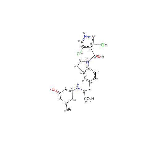 CCCC1CC(=O)C=C(NC(Cc2ccc3c(c2)CCN3C(=O)c2c(Cl)cncc2Cl)C(=O)O)C1